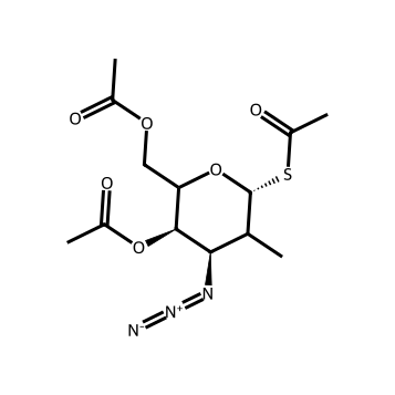 CC(=O)OCC1O[C@H](SC(C)=O)C(C)[C@@H](N=[N+]=[N-])[C@H]1OC(C)=O